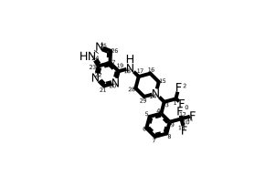 FC(F)C(c1ccccc1C(F)(F)F)N1CCC(Nc2ncnc3[nH]ncc23)CC1